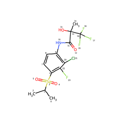 CC(C)S(=O)(=O)c1ccc(NC(=O)C(C)(O)C(F)(F)F)c(Cl)c1F